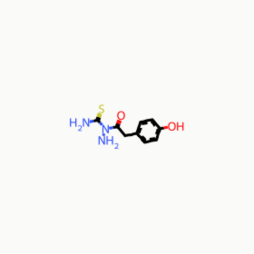 NC(=S)N(N)C(=O)Cc1ccc(O)cc1